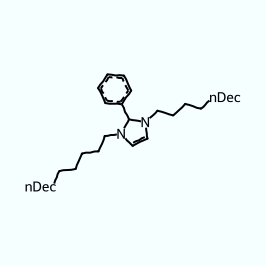 CCCCCCCCCCCCCCCN1C=CN(CCCCCCCCCCCCCC)C1c1ccccc1